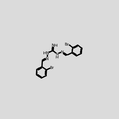 N=C(N/N=C/c1ccccc1Br)N/N=C/c1ccccc1Br